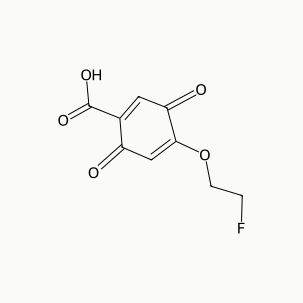 O=C(O)C1=CC(=O)C(OCCF)=CC1=O